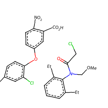 CCc1cccc(CC)c1N(COC)C(=O)CCl.O=C(O)c1cc(Oc2ccc(C(F)(F)F)cc2Cl)ccc1[N+](=O)[O-]